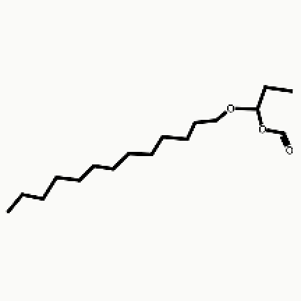 CCCCCCCCCCCCCOC(CC)O[C]=O